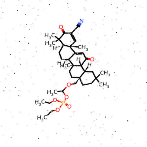 CCOP(=O)(OCC)OC(C)OC[C@]12CCC(C)(C)C[C@H]1[C@H]1C(=O)C=C3[C@@]4(C)C=C(C#N)C(=O)C(C)(C)[C@@H]4CC[C@@]3(C)[C@]1(C)CC2